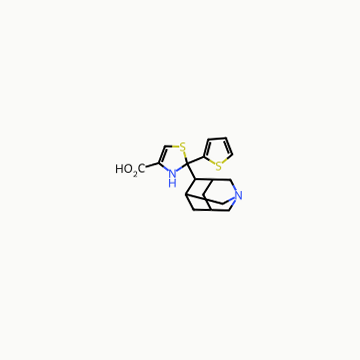 O=C(O)C1=CSC(c2cccs2)(C2C3CC4CC2CN(C4)C3)N1